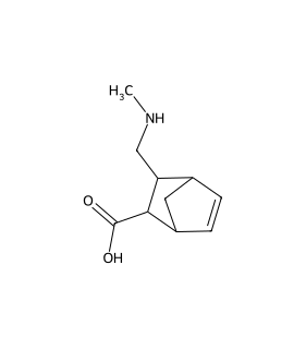 CNCC1C2C=CC(C2)C1C(=O)O